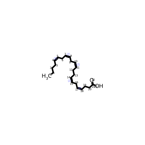 CCCC/C=C\C/C=C\C/C=C\CC/C=C\C/C=C\CCC(=O)O